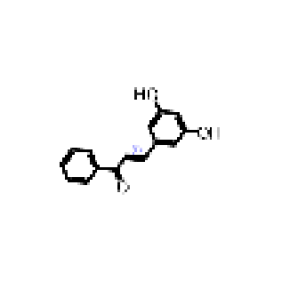 O=C(/C=C/c1cc(O)cc(O)c1)c1ccccc1